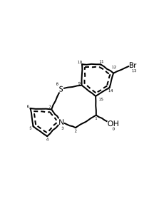 OC1Cn2cccc2Sc2ccc(Br)cc21